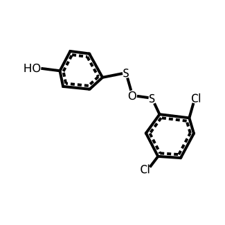 Oc1ccc(SOSc2cc(Cl)ccc2Cl)cc1